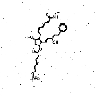 CCNC(=O)CCC/C=C\CC1C(O)CC(OC(=O)CCCCCO[N+](=O)[O-])C1/C=C/C(O)CCc1ccccc1